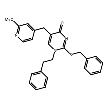 COc1cc(Cc2cn(CCc3ccccc3)c(SCc3ccccc3)nc2=O)ccn1